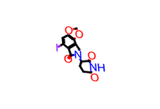 O=C1CCC(N2Cc3c4c(cc(I)c3C2=O)OCO4)C(=O)N1